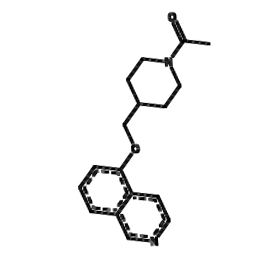 CC(=O)N1CCC(COc2cccc3cnccc23)CC1